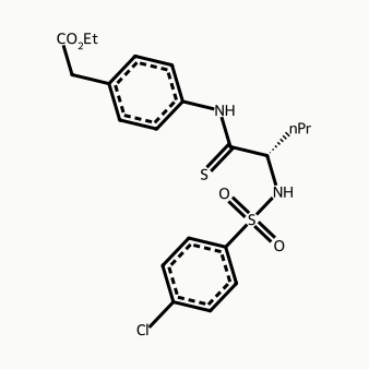 CCC[C@H](NS(=O)(=O)c1ccc(Cl)cc1)C(=S)Nc1ccc(CC(=O)OCC)cc1